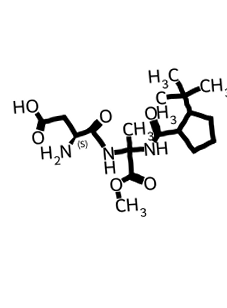 COC(=O)C(C)(NC(=O)C1CCCC1C(C)(C)C)NC(=O)[C@@H](N)CC(=O)O